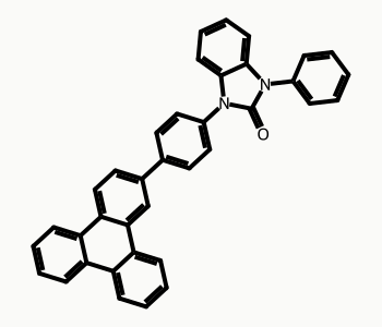 O=c1n(-c2ccccc2)c2ccccc2n1-c1ccc(-c2ccc3c4ccccc4c4ccccc4c3c2)cc1